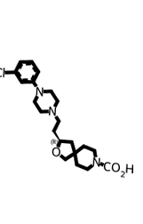 O=C(O)N1CCC2(CC1)CO[C@@H](CCN1CCN(c3cccc(Cl)c3)CC1)C2